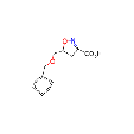 O=C(O)C1=NOC(COCc2ccccc2)C1